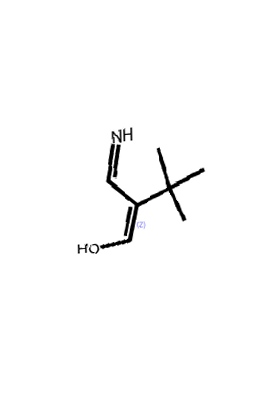 CC(C)(C)/C(C=N)=C/O